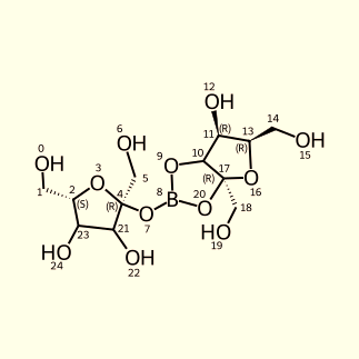 OC[C@@H]1O[C@@](CO)(OB2OC3[C@@H](O)[C@@H](CO)O[C@@]3(CO)O2)C(O)C1O